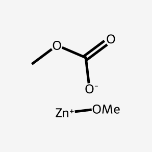 COC(=O)[O-].C[O][Zn+]